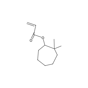 C=CC(=O)OC1CCCCCC1(C)C